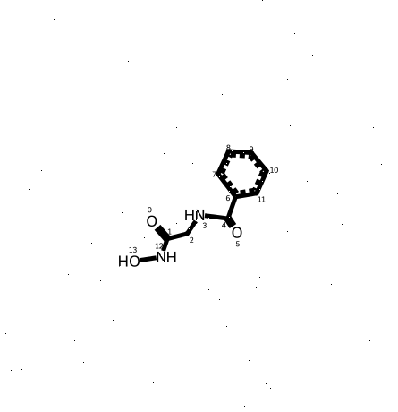 O=C(CNC(=O)c1ccccc1)NO